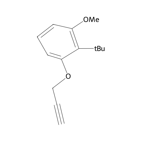 C#CCOc1cccc(OC)c1C(C)(C)C